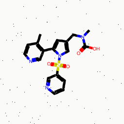 Cc1ccncc1-c1cc(CN(C)C(=O)O)cn1S(=O)(=O)c1cccnc1